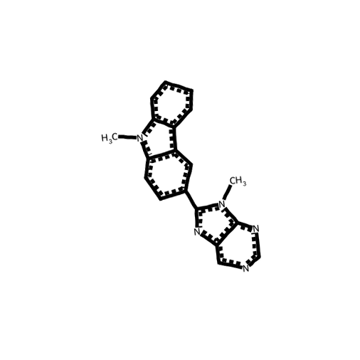 Cn1c(-c2ccc3c(c2)c2ccccc2n3C)nc2cncnc21